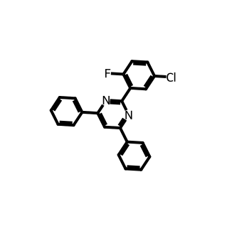 Fc1ccc(Cl)cc1-c1nc(-c2ccccc2)cc(-c2ccccc2)n1